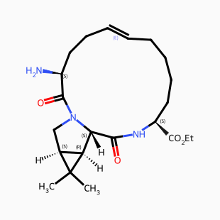 CCOC(=O)[C@@H]1CCCC/C=C/CC[C@H](N)C(=O)N2C[C@H]3[C@@H]([C@H]2C(=O)N1)C3(C)C